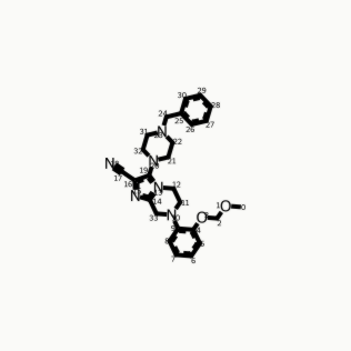 COCOc1ccccc1N1CCn2c(nc(C#N)c2N2CCN(Cc3ccccc3)CC2)C1